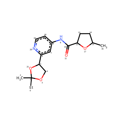 CCC1(C)OCC(c2cc(NC(=O)C3CCC(C)O3)ccn2)O1